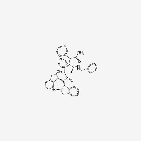 C[C@](C[C@@H](CC(C(N)=O)c1ccccc1)NCc1ccccc1)(C(=O)N([C@H]1c2ccccc2C[C@H]1O)[C@H]1c2ccccc2C[C@H]1O)c1ccccc1